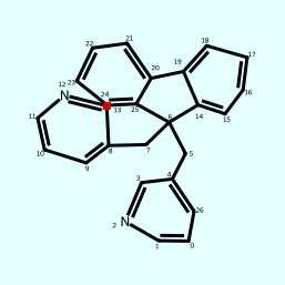 c1cncc(CC2(Cc3cccnc3)c3ccccc3-c3ccccc32)c1